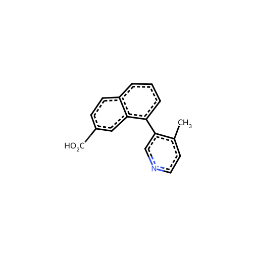 Cc1ccncc1-c1cccc2ccc(C(=O)O)cc12